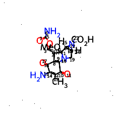 CO[C@@]12[C@H](COC(N)=O)C3=C(C(=O)C(C)=C(N)C3=O)N1C[C@H]1[C@@H]2N1C(=O)O